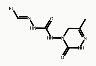 CC/C=N/NC(=O)NN1CC(C)=NNC1=O